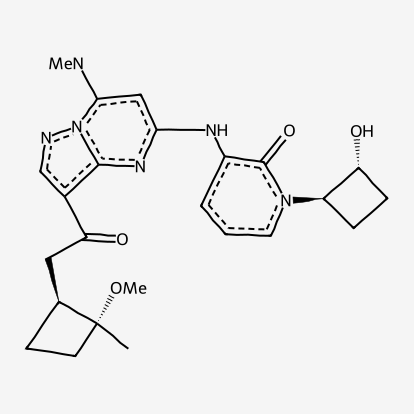 CNc1cc(Nc2cccn([C@@H]3CC[C@H]3O)c2=O)nc2c(C(=O)C[C@@H]3CC[C@@]3(C)OC)cnn12